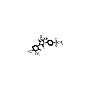 CC1(C)C(=O)N(c2ccc(C#N)c(C(F)(F)F)c2F)C(=S)N1c1ccc(S(C)(=O)=O)cc1